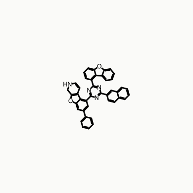 C1=Cc2c(oc3cc(-c4ccccc4)cc(-c4nc(-c5ccc6ccccc6c5)nc(-c5cccc6oc7ccccc7c56)n4)c23)CN1